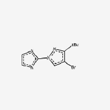 CC(C)(C)c1nn(-c2nccs2)cc1Br